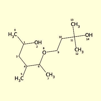 CC(O)CC(C)C(C)OCCC(C)(C)O